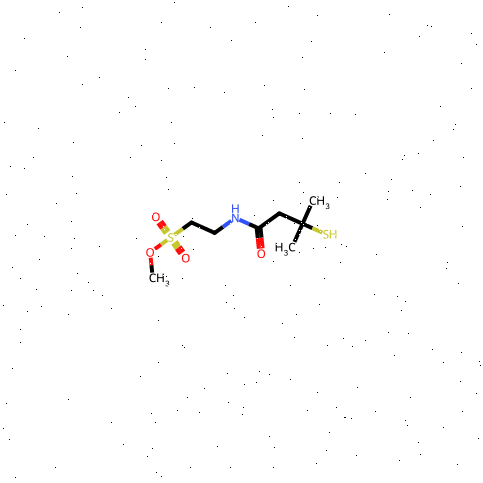 COS(=O)(=O)CCNC(=O)CC(C)(C)S